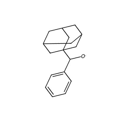 [O]C(c1ccccc1)C12CC3CC(CC(C3)C1)C2